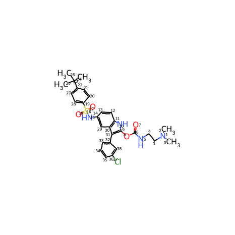 CN(C)CCNC(=O)Oc1[nH]c2ccc(NS(=O)(=O)c3ccc(C(C)(C)C)cc3)cc2c1-c1cccc(Cl)c1